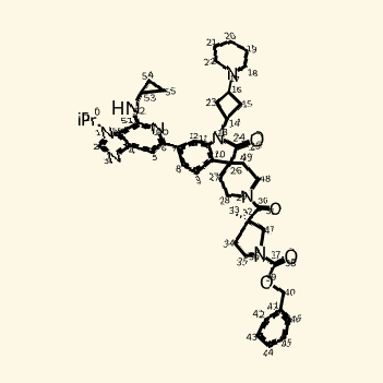 CC(C)n1cnc2cc(-c3ccc4c(c3)N(C3CC(N5CCCCC5)C3)C(=O)C43CCN(C(=O)[C@]4(C)CCN(C(=O)OCc5ccccc5)C4)CC3)nc(NC3CC3)c21